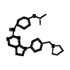 CC(C)Oc1ccc(Nc2ncc3ccn(-c4ccc(CN5CCCC5)cc4)c3n2)cc1